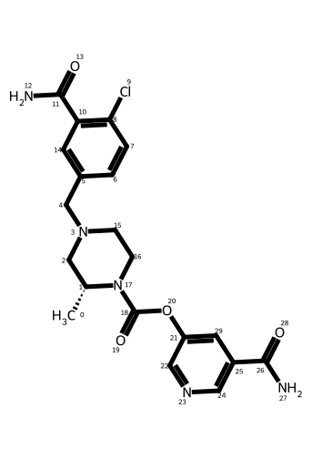 C[C@@H]1CN(Cc2ccc(Cl)c(C(N)=O)c2)CCN1C(=O)Oc1cncc(C(N)=O)c1